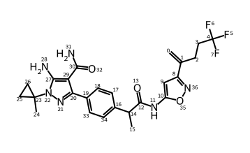 C=C(CCC(F)(F)F)c1cc(NC(=O)C(C)c2ccc(-c3nn(C4(C)CC4)c(N)c3C(N)=O)cc2)on1